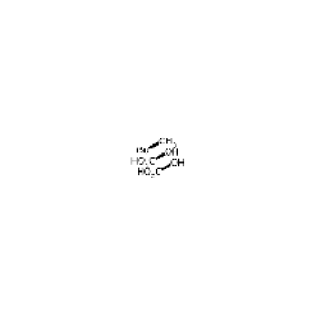 CCC(C)C.O=C(O)O.O=C(O)O